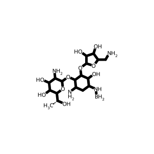 BNC1CC(N)C(OC2OC([C@@H](C)O)C(O)C(O)C2N)C(OC2OC(CN)C(O)C2O)C1O